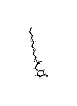 CCCOCCOCCOC(=O)CN1C=CN(C)C1